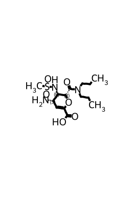 CCCN(CCC)C(=O)[C@@H]1OC(C(=O)O)=C[C@H](N)[C@H]1NS(C)(=O)=O